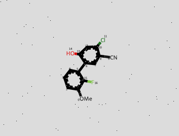 COc1cccc(-c2cc(C#N)c(Cl)cc2O)c1F